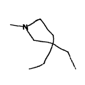 CCC1(CC)CCN(C)C1